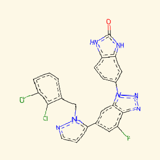 O=c1[nH]c2ccc(-n3nnc4c(F)cc(-c5ccnn5Cc5cccc(Cl)c5Cl)cc43)cc2[nH]1